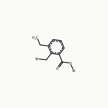 CCc1cccc(C(=O)OBr)c1CBr